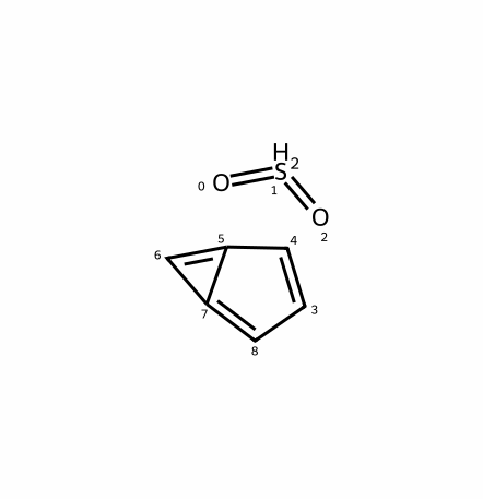 O=[SH2]=O.c1cc2cc-2c1